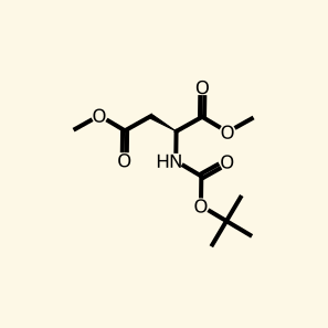 COC(=O)C[C@H](NC(=O)OC(C)(C)C)C(=O)OC